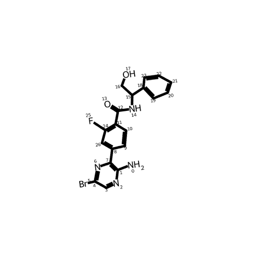 Nc1ncc(Br)nc1-c1ccc(C(=O)NC(CO)c2ccccc2)c(F)c1